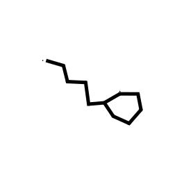 [CH2]CCCCC1[CH]CCCC1